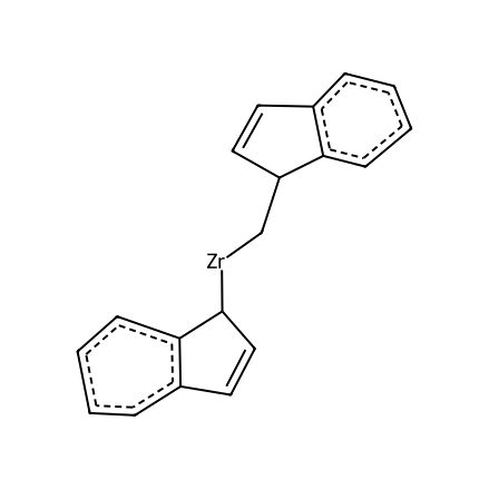 C1=CC([CH2][Zr][CH]2C=Cc3ccccc32)c2ccccc21